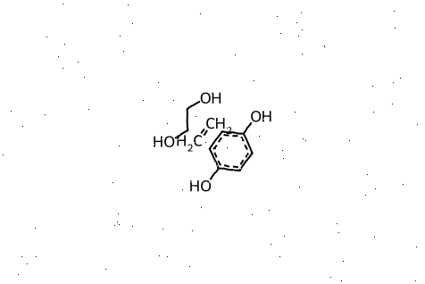 C=C.OCCO.Oc1ccc(O)cc1